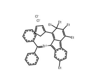 CCC1=C(CC)C(CC)(CC)C(C2=CC=CC2)=C2[C]([Zr+2]=[C](c3ccccc3)c3ccccc3)=c3cc(CC)ccc3=C12.[Cl-].[Cl-]